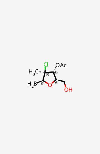 B[C@@H]1O[C@H](CO)[C@@H](OC(C)=O)[C@]1(C)Cl